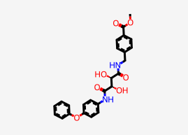 COC(=O)c1ccc(CNC(=O)[C@H](O)[C@@H](O)C(=O)Nc2ccc(Oc3ccccc3)cc2)cc1